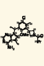 COc1c(C(C)n2nc(C)c3c(N)ncnc32)cc(Cl)c(C)c1C1CN(C(=O)C(C)C)C1